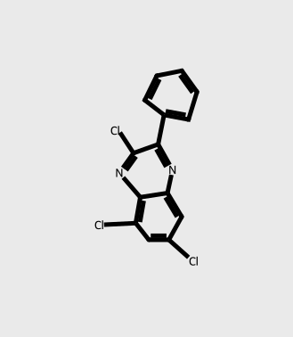 Clc1cc(Cl)c2nc(Cl)c(-c3ccccc3)nc2c1